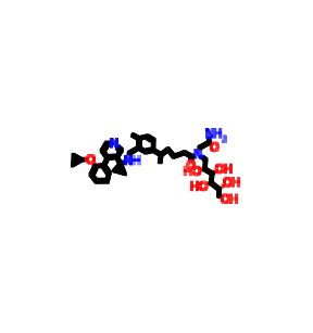 Cc1ccc(C(C)CCCC(=O)N(CC(N)=O)C[C@H](O)[C@@H](O)[C@H](O)[C@H](O)CO)cc1CNC1(c2cnccc2-c2ccccc2OC2CC2)CC1